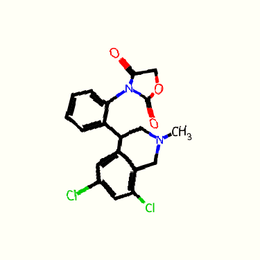 CN1Cc2c(Cl)cc(Cl)cc2C(c2ccccc2N2C(=O)COC2=O)C1